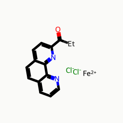 CCC(=O)c1ccc2ccc3cccnc3c2n1.[Cl-].[Cl-].[Fe+2]